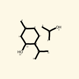 CC(C)O.CC1CCC(C(C)C)C(O)C1